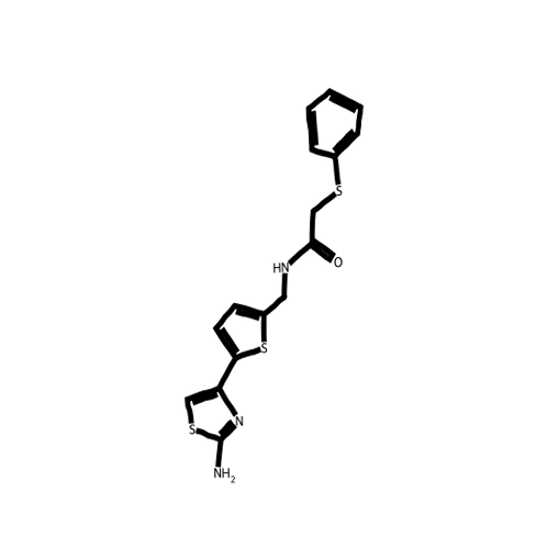 Nc1nc(-c2ccc(CNC(=O)CSc3ccccc3)s2)cs1